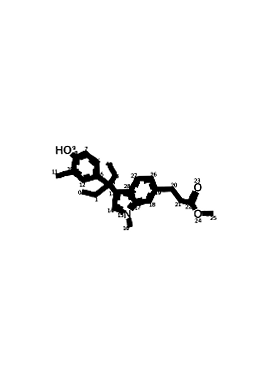 CCC(CC)(c1ccc(O)c(C)c1)c1cn(C)c2cc(CCC(=O)OC)ccc12